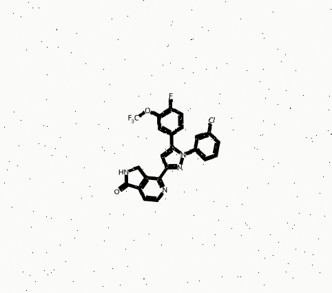 O=C1NCc2c1ccnc2-c1cc(-c2ccc(F)c(OC(F)(F)F)c2)n(-c2cccc(Cl)c2)n1